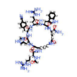 CC(=O)N[C@H](CCCNC(=N)N)C(=O)N[C@H]1CCCNC(=O)CC[C@@H](C(N)=O)NC(=O)[C@H](Cc2c[nH]c3ccccc23)NC(=O)[C@H](CCCNC(=N)N)NC(=O)[C@@H](Cc2ccc(C#N)cc2)NC(=O)[C@H](Cc2c[nH]cn2)NC1=O